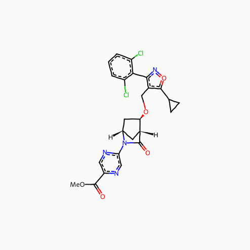 COC(=O)c1cnc(N2C(=O)[C@@H]3C[C@H]2C[C@H]3OCc2c(-c3c(Cl)cccc3Cl)noc2C2CC2)cn1